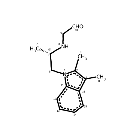 Cc1c(C)n(C[C@H](C)NC[C]=O)c2ccccc12